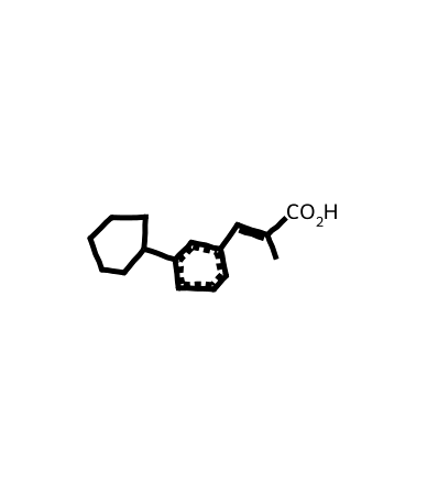 CC(=Cc1cccc(C2CCCCC2)c1)C(=O)O